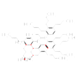 CCCCc1ccc(P(c2ccc(CCCC)c(CCCC)c2CCCC)C(CC)P(c2ccc(CCCC)c(CCCC)c2CCCC)c2ccc(CCCC)c(CCCC)c2CCCC)c(CCCC)c1CCCC